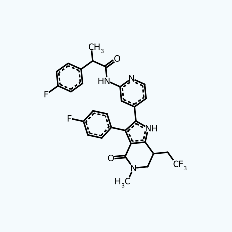 CC(C(=O)Nc1cc(-c2[nH]c3c(c2-c2ccc(F)cc2)C(=O)N(C)CC3CC(F)(F)F)ccn1)c1ccc(F)cc1